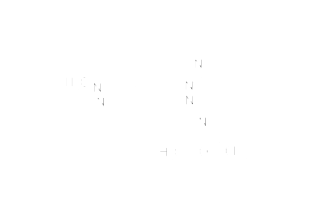 C[C@@H]1CN(c2ccc3ncc(-c4ccc(-c5cnn(C)c5)cc4)n3n2)C[C@H](C)O1